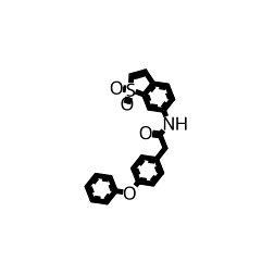 O=C(Cc1ccc(Oc2ccccc2)cc1)Nc1ccc2c(c1)S(=O)(=O)C=C2